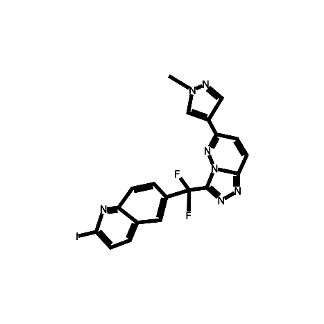 Cn1cc(-c2ccc3nnc(C(F)(F)c4ccc5nc(I)ccc5c4)n3n2)cn1